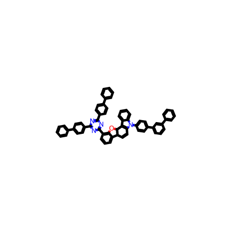 C1=CC2c3cccc(-c4nc(-c5ccc(-c6ccccc6)cc5)nc(-c5ccc(-c6ccccc6)cc5)n4)c3OC2c2c1n(-c1ccc(-c3cccc(-c4ccccc4)c3)cc1)c1ccccc21